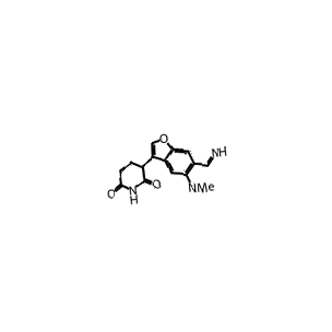 CNc1cc2c(C3CCC(=O)NC3=O)coc2cc1C=N